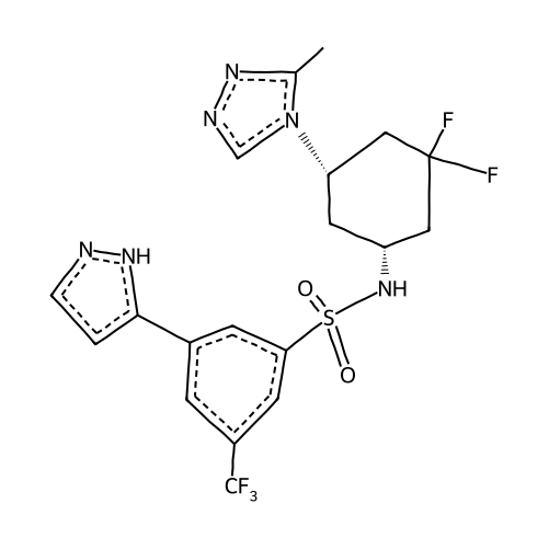 Cc1nncn1[C@H]1C[C@@H](NS(=O)(=O)c2cc(-c3ccn[nH]3)cc(C(F)(F)F)c2)CC(F)(F)C1